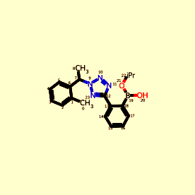 Cc1ccccc1C(C)n1nnc(-c2ccccc2B(O)OC(C)C)n1